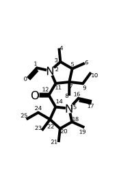 C=CN1C(C)C(C)C(C)(CC)C1C(=O)C1N(C=C)C(C)C(C)C1(C)CC